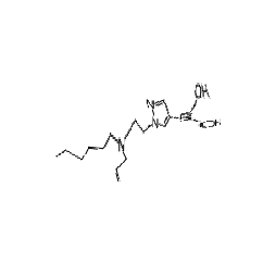 CCCCCCN(CCC)CCn1cc(B(O)O)cn1